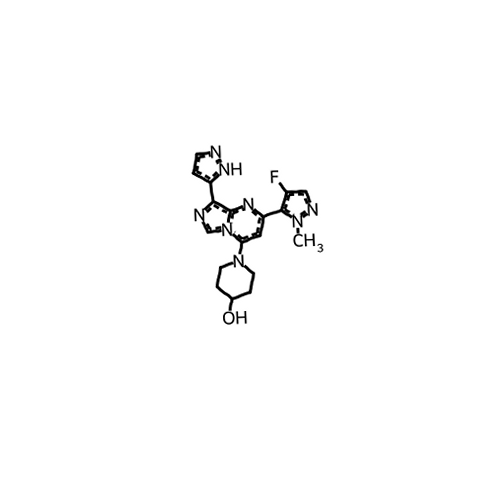 Cn1ncc(F)c1-c1cc(N2CCC(O)CC2)n2cnc(-c3ccn[nH]3)c2n1